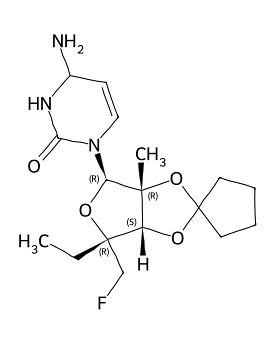 CC[C@@]1(CF)O[C@@H](N2C=CC(N)NC2=O)[C@]2(C)OC3(CCCC3)O[C@H]12